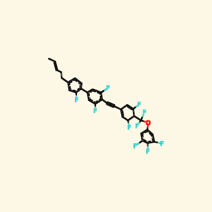 C/C=C/CCc1ccc(-c2cc(F)c(C#CC3=CC(F)C(C(F)(F)Oc4cc(F)c(F)c(F)c4)C(F)=C3)c(F)c2)c(F)c1